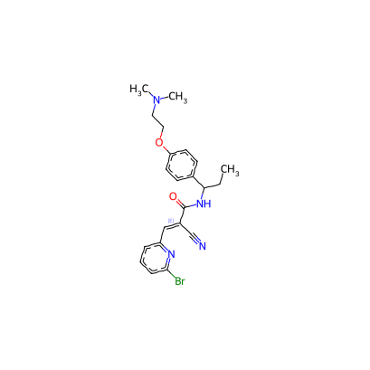 CCC(NC(=O)/C(C#N)=C/c1cccc(Br)n1)c1ccc(OCCN(C)C)cc1